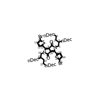 CCCCCCCCCCCCC(CCCCCCCCCC)CN1C(=O)C2=C(c3ccc(Br)s3)N(CC(CCCCCCCCCC)CCCCCCCCCCCC)C(=O)C2=C1c1ccc(Br)s1